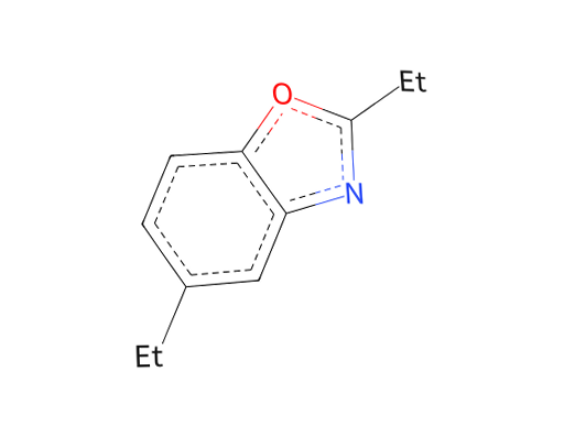 CCc1ccc2oc(CC)nc2c1